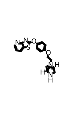 c1cnc2nc(Oc3ccc(OCCN4C[C@H]5C[C@@H]4CN5)cc3)sc2c1